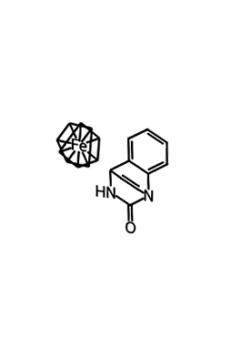 O=C1NC2C=CN1c1ccccc12.[CH]12[CH]3[CH]4[CH]5[CH]1[Fe]23451678[CH]2[CH]1[CH]6[CH]7[CH]28